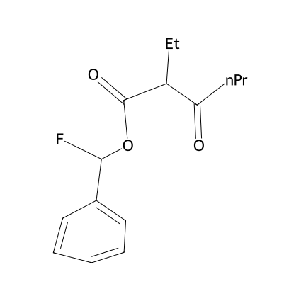 CCCC(=O)C(CC)C(=O)OC(F)c1ccccc1